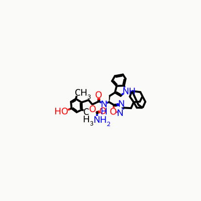 Cc1cc(O)cc(C)c1CC(OC(N)=O)C(=O)N[C@@H](Cc1c[nH]c2ccccc12)c1nc(CC23CC4CC(CC(C4)C2)C3)no1